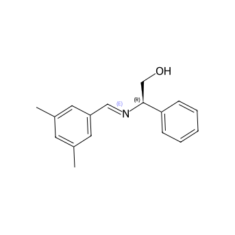 Cc1cc(C)cc(/C=N/[C@@H](CO)c2ccccc2)c1